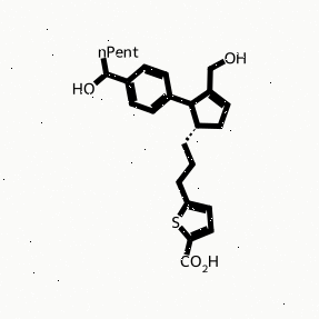 CCCCCC(O)c1ccc(C2C(CO)=CC[C@@H]2CCCc2ccc(C(=O)O)s2)cc1